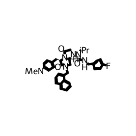 CNc1ccc(C[C@H]2C(=O)N(Cc3cccc4ccccc34)C[C@H]3N2C(=O)CN3N(C(=O)NCc2ccc(F)cc2)C(C)C)cc1